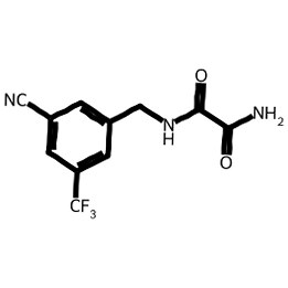 N#Cc1cc(CNC(=O)C(N)=O)cc(C(F)(F)F)c1